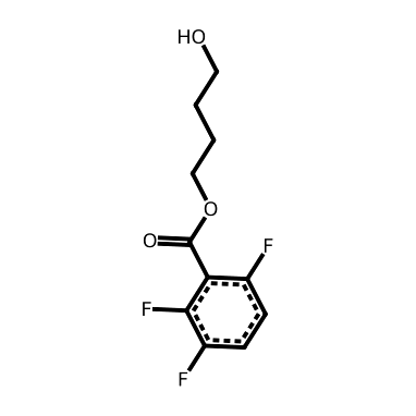 O=C(OCCCCO)c1c(F)ccc(F)c1F